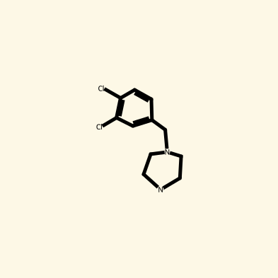 Clc1ccc(CN2CC[N]CC2)cc1Cl